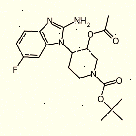 CC(=O)OC1CN(C(=O)OC(C)(C)C)CCC1n1c(N)nc2ccc(F)cc21